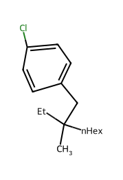 CCCCCCC(C)(CC)Cc1ccc(Cl)cc1